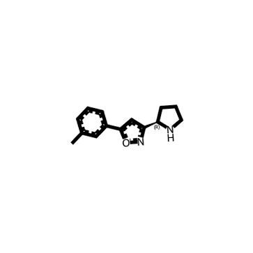 Cc1cccc(-c2cc([C@H]3CCCN3)no2)c1